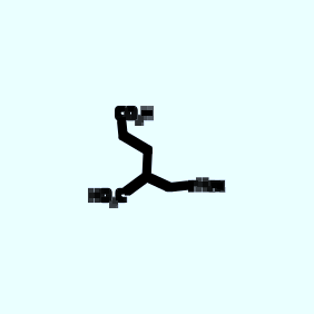 CCCCCCCC(CCC(=O)O)C(=O)O